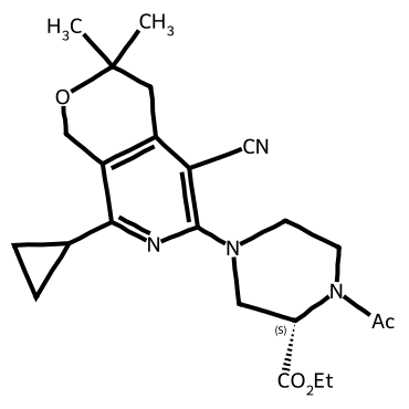 CCOC(=O)[C@@H]1CN(c2nc(C3CC3)c3c(c2C#N)CC(C)(C)OC3)CCN1C(C)=O